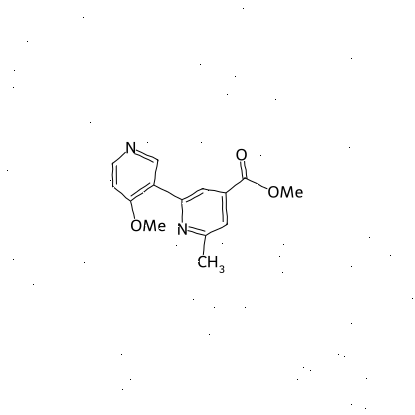 COC(=O)c1cc(C)nc(-c2cnccc2OC)c1